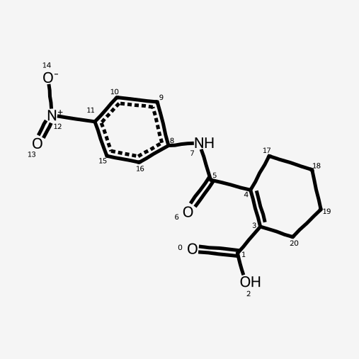 O=C(O)C1=C(C(=O)Nc2ccc([N+](=O)[O-])cc2)CCCC1